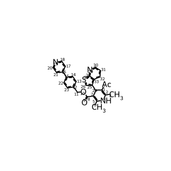 CC(=O)C1=C(C)NC(C)=C(C(=O)OCc2ccc(-c3ccncc3)cc2)C1c1csc2ncccc12